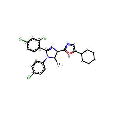 CC1C(c2ncc(C3CCCCC3)o2)N=C(c2ccc(Cl)cc2Cl)N1c1ccc(Cl)cc1